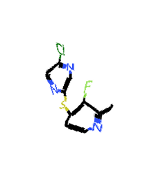 Cc1nccc(Sc2cnc(Cl)cn2)c1F